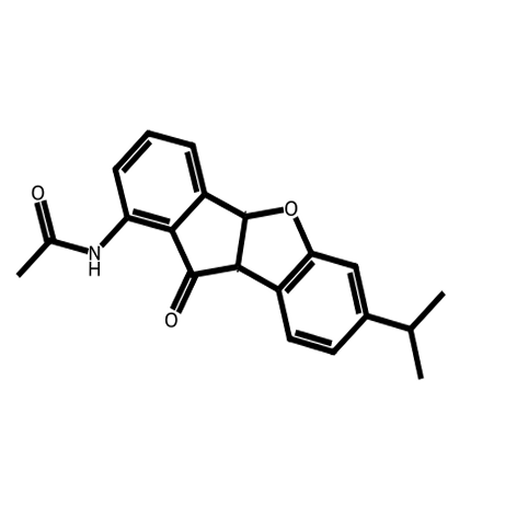 CC(=O)Nc1cccc2c1C(=O)[C]1[C]2Oc2cc(C(C)C)ccc21